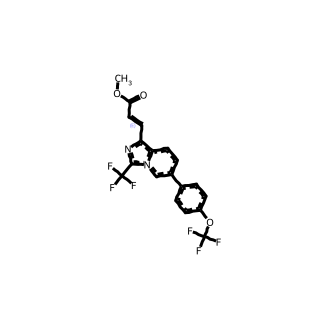 COC(=O)/C=C/c1nc(C(F)(F)F)n2cc(-c3ccc(OC(F)(F)F)cc3)ccc12